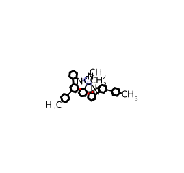 C=N/C=C(\C(=C(/C)n1c2ccccc2c2cc(-c3ccc(C)cc3)ccc21)c1ccccc1C#N)n1c2ccccc2c2cc(-c3ccc(C)cc3)ccc21